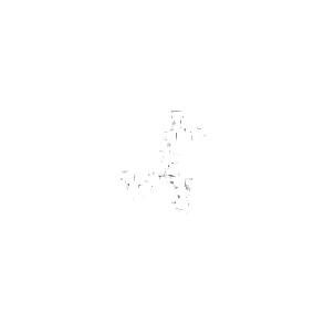 c1ccc(-n2c3ccccc3c3ccc(-c4ccc(N(c5ccc(-c6cccc7ccccc67)cc5)c5ccc6sc7ccccc7c6c5)cc4)cc32)cc1